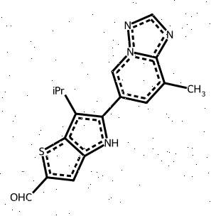 Cc1cc(-c2[nH]c3cc(C=O)sc3c2C(C)C)cn2ncnc12